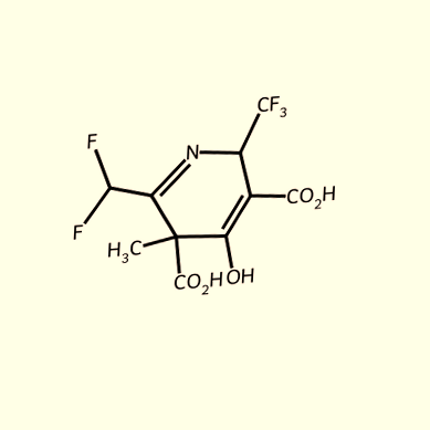 CC1(C(=O)O)C(C(F)F)=NC(C(F)(F)F)C(C(=O)O)=C1O